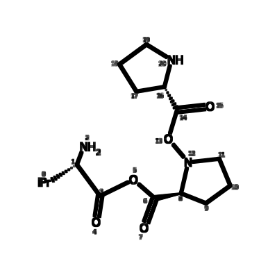 CC(C)[C@H](N)C(=O)OC(=O)[C@@H]1CCCN1OC(=O)[C@@H]1CCCN1